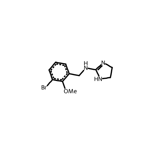 COc1c(Br)cccc1CNC1=NCCN1